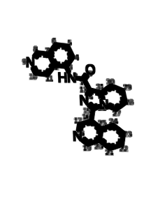 O=C(Nc1cccc2cnccc12)c1nc(-c2cncc3ccccc23)n2ccccc12